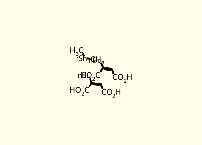 CCCC/C(=C/C(=O)O)C(=O)O.CCCC/C(=C/C(=O)O)C(=O)O.[CH3][Sn][CH3]